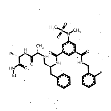 CCNC(=O)[C@@H](NC(=O)[C@H](C)NC[C@H](Cc1ccccc1)NC(=O)c1cc(C(=O)NCc2ccccc2F)cc(N(C)S(C)(=O)=O)c1)C(C)C